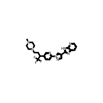 CN1CCN(CCC(c2ccc(-n3cc(-c4nc5cccnc5[nH]4)cn3)nc2)C(F)(F)F)CC1